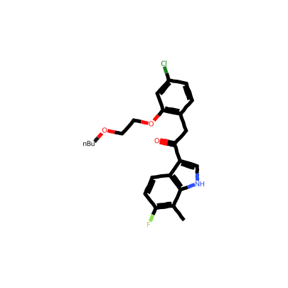 CCCCOCCOc1cc(Cl)ccc1CC(=O)c1c[nH]c2c(C)c(F)ccc12